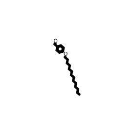 CCCCCCCCCCCCCCOc1ccc(C=O)cc1